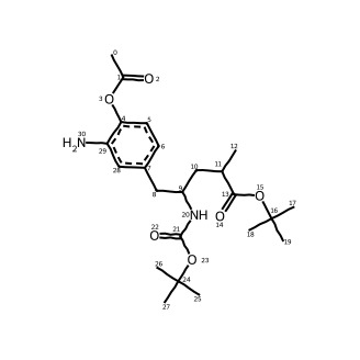 CC(=O)Oc1ccc(CC(CC(C)C(=O)OC(C)(C)C)NC(=O)OC(C)(C)C)cc1N